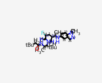 C#CC(/C=C(/F)C(=C)NC([C@H](C)NC(=O)CC(C)(C)C)C(C)(C)C)=C(/C)Nc1ccc2c(cnn2C)c1